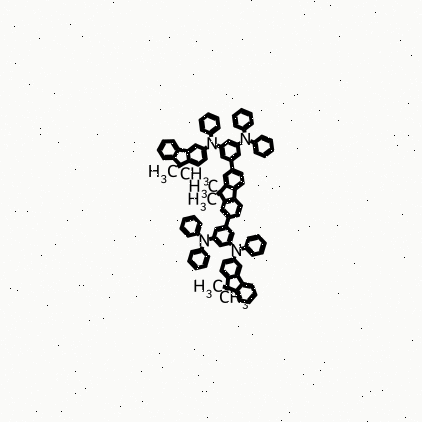 CC1(C)c2ccccc2-c2cc(N(c3ccccc3)c3cc(-c4ccc5c(c4)C(C)(C)c4cc(-c6cc(N(c7ccccc7)c7ccccc7)cc(N(c7ccccc7)c7ccc8c(c7)-c7ccccc7C8(C)C)c6)ccc4-5)cc(N(c4ccccc4)c4ccccc4)c3)ccc21